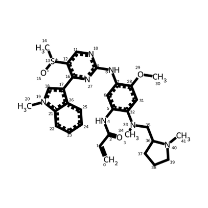 C=CC(=O)Nc1cc(Nc2ncc([S+](C)[O-])c(-c3cn(C)c4ccccc34)n2)c(OC)cc1N(C)CC1CCCN1C